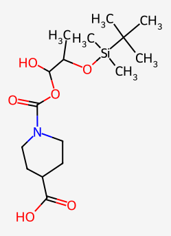 CC(O[Si](C)(C)C(C)(C)C)C(O)OC(=O)N1CCC(C(=O)O)CC1